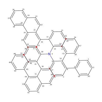 c1ccc(-c2cccc(N(c3ccccc3-c3cccc4c3ccc3ccccc34)c3ccccc3-c3cccc4cccc(-c5ccccc5)c34)c2-c2ccccc2)cc1